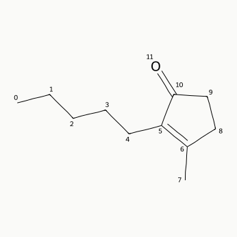 CCCCCC1=C(C)CCC1=O